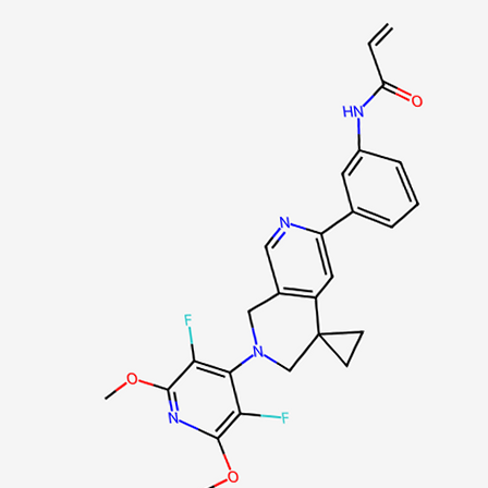 C=CC(=O)Nc1cccc(-c2cc3c(cn2)CN(c2c(F)c(OC)nc(OC)c2F)CC32CC2)c1